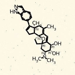 CC1=C2C=C3[C@@H](O)[C@H](O)[C@@H](N(C)C)C[C@]34CC[C@]2(O4)C2CC=C(c3ccc4cn[nH]c4c3)[C@@]2(C)C1